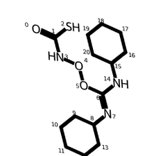 O=C(S)NOO/C(=N\C1CCCCC1)NC1CCCCC1